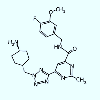 COc1cc(CNC(=O)c2cc(-c3nnn(C[C@H]4CC[C@H](N)CC4)n3)nc(C)n2)ccc1F